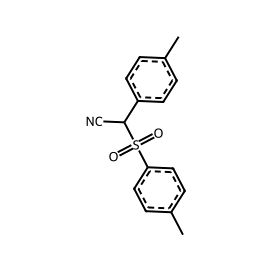 Cc1ccc(C(C#N)S(=O)(=O)c2ccc(C)cc2)cc1